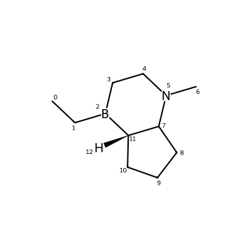 CCB1CCN(C)C2CCC[C@H]12